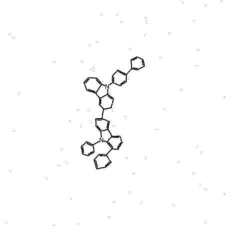 C1=c2c(n(-c3ccc(-c4ccccc4)cc3)c3ccccc23)=CCC1c1ccc2c(c1)c1cccc(-c3ccccc3)c1n2-c1ccccc1